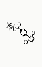 CC(C)(C)[Si](C)(C)OC(=O)c1ccc(N2C(=O)C=CC2=O)cc1